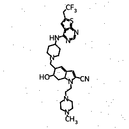 CN1CCN(CCN2C(C#N)=CC3=CC(CN4CCC(Nc5ncnc6sc(CC(F)(F)F)cc56)CC4)C(O)CC32)CC1